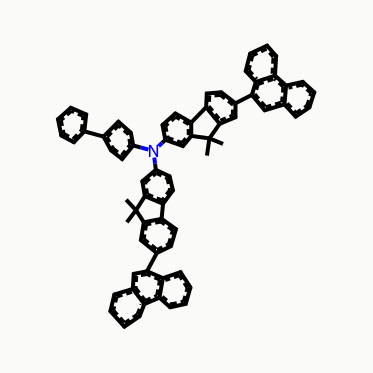 CC1(C)c2cc(-c3cc4ccccc4c4ccccc34)ccc2-c2ccc(N(c3ccc(-c4ccccc4)cc3)c3ccc4c(c3)C(C)(C)c3cc(-c5cc6ccccc6c6ccccc56)ccc3-4)cc21